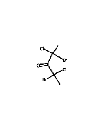 CC(Cl)(Br)C(=O)C(C)(Cl)Br